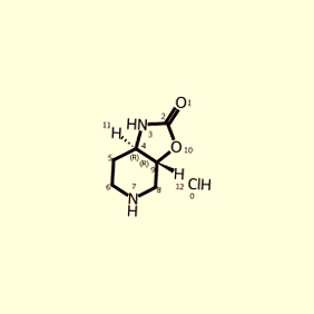 Cl.O=C1N[C@@H]2CCNC[C@H]2O1